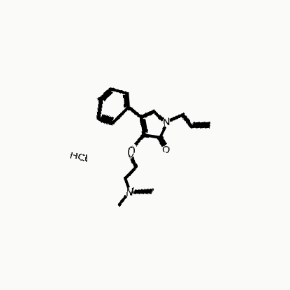 C=CCN1CC(c2ccccc2)=C(OCCN(C)C)C1=O.Cl